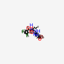 CCCC(NC(=O)C(O)c1cc(F)cc(F)c1)C(=O)Nc1cn(C(C)(C)C(=O)OC)cn1